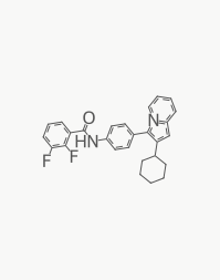 O=C(Nc1ccc(-c2c(C3CCCCC3)cc3ccccn23)cc1)c1cccc(F)c1F